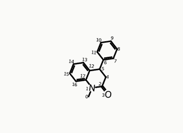 CN1C(=O)CC(c2ccccc2)c2ccccc21